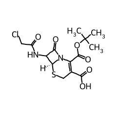 CC(C)(C)OC(=O)C1=C(C(=O)O)CS[C@H]2C(NC(=O)CCl)C(=O)N12